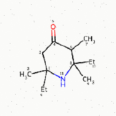 CCC1(C)CC(=O)C(C)C(C)(CC)N1